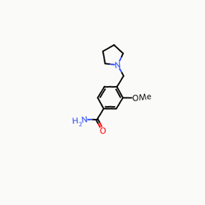 COc1cc(C(N)=O)ccc1CN1CCCC1